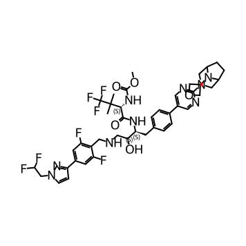 COC(=O)N[C@H](C(=O)N[C@@H](Cc1ccc(-c2cnc(N3CC4CCC(C3)N4C3COC3)nc2)cc1)[C@@H](O)CNCc1c(F)cc(-c2ccn(CC(F)F)n2)cc1F)C(C)(C)C(F)(F)F